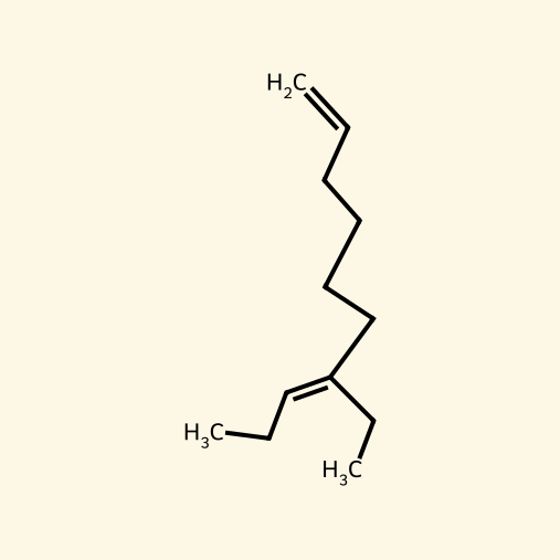 C=CCCCCC(=CCC)CC